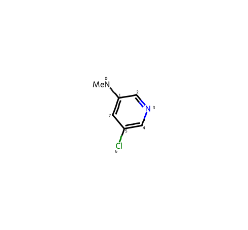 CNc1cncc(Cl)c1